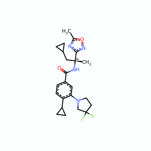 Cc1nc([C@@](C)(CC2CC2)NC(=O)c2ccc(C3CC3)c(N3CCC(F)(F)C3)c2)no1